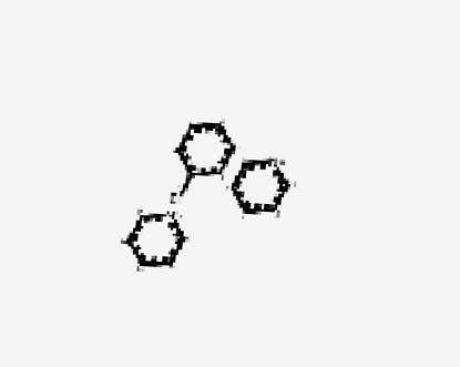 [Bi][c]1ccccc1.c1ccncc1.c1ccncc1